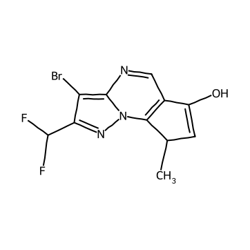 CC1C=C(O)c2cnc3c(Br)c(C(F)F)nn3c21